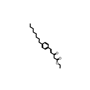 CCCCCCCCc1ccc(C=CC(=O)CC(=O)OCC)cc1